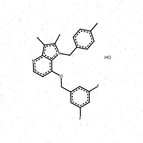 Cc1ccc(Cn2c(C)c(C)c3nccc(OCc4cc(F)cc(F)c4)c32)cc1.Cl